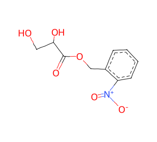 O=C(OCc1ccccc1[N+](=O)[O-])C(O)CO